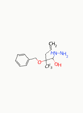 C=CCC(OCc1ccccc1)(C(O)NN)C(F)(F)F